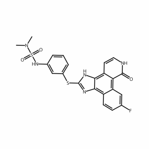 CN(C)S(=O)(=O)Nc1cccc(Sc2nc3c4ccc(F)cc4c4c(=O)[nH]ccc4c3[nH]2)c1